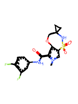 Cn1cc2c(c1C(=O)Nc1ccc(F)c(F)c1)OCC1(CC1)NS2(=O)=O